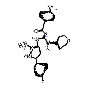 NN1NC(c2ccc(F)cc2)CC1N/C(=N\C(=O)c1ccc(C(F)(F)F)cc1)NC1CCOCC1